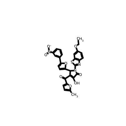 CCOc1ccc2nc(N3C(=O)C(O)=C(C(=O)c4ccc(C)o4)C3c3ccc(-c4cccc([N+](=O)[O-])c4)o3)sc2c1